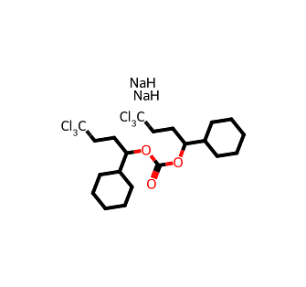 O=C(OC(CCC(Cl)(Cl)Cl)C1CCCCC1)OC(CCC(Cl)(Cl)Cl)C1CCCCC1.[NaH].[NaH]